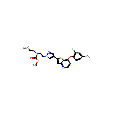 COCCN(CCn1cc(-c2cc3nccc(Oc4ccc([N+](=O)[O-])cc4F)c3s2)cn1)C(=O)OC(C)(C)C